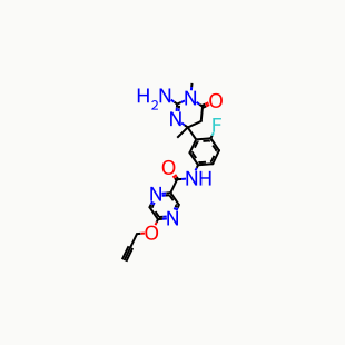 C#CCOc1cnc(C(=O)Nc2ccc(F)c(C3(C)CC(=O)N(C)C(N)=N3)c2)cn1